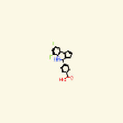 O=C(O)c1ccc(C2Nc3c(F)cc(F)cc3C3C=CCC32)cc1